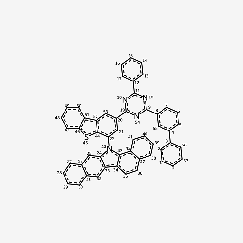 c1ccc(-c2cccc(-c3nc(-c4ccccc4)nc(-c4cc(-n5c6cc7ccccc7cc6c6ccc7ccccc7c65)c5sc6ccccc6c5c4)n3)c2)cc1